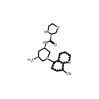 C[C@H]1C[C@@H](NC(=O)[C@@H]2COCCN2)CN(c2ccc(C#N)c3ncccc23)C1